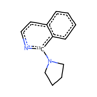 c1ccc2c(c1)ccn[13c]2N1CCCC1